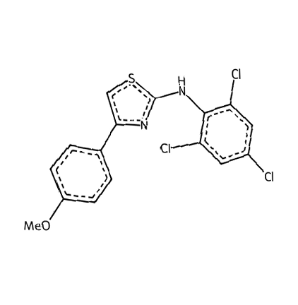 COc1ccc(-c2csc(Nc3c(Cl)cc(Cl)cc3Cl)n2)cc1